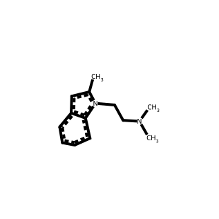 Cc1cc2ccccc2n1CCN(C)C